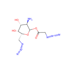 [N-]=[N+]=NCC(=O)OC1O[C@H](CN=[N+]=[N-])[C@H](O)[C@H](O)[C@H]1N